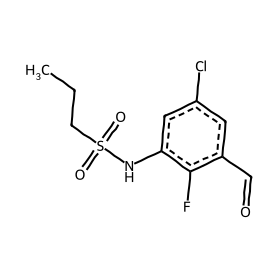 CCCS(=O)(=O)Nc1cc(Cl)cc(C=O)c1F